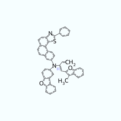 C=C/C(=C\c1oc2ccccc2c1C)N(c1ccc2c(ccc3ccc4nc(-c5ccccc5)sc4c32)c1)c1ccc2oc3ccccc3c2c1